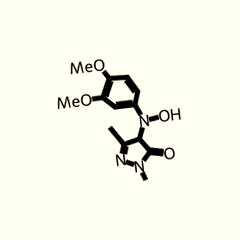 COc1ccc(N(O)C2C(=O)N(C)N=C2C)cc1OC